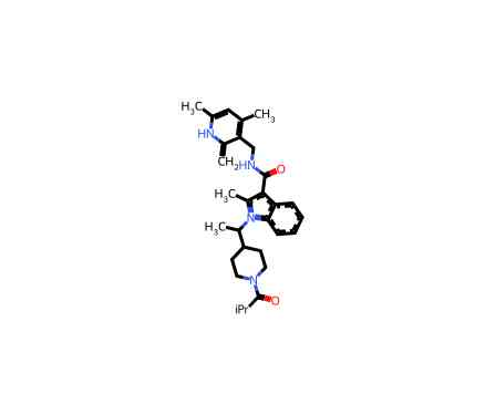 C=C1NC(C)=CC(C)=C1CNC(=O)c1c(C)n(C(C)C2CCN(C(=O)C(C)C)CC2)c2ccccc12